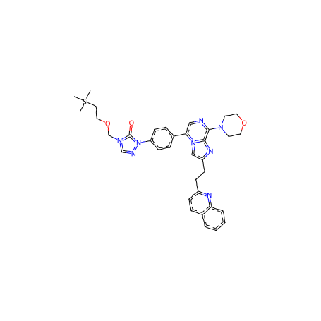 C[Si](C)(C)CCOCn1cnn(-c2ccc(-c3cnc(N4CCOCC4)c4nc(CCc5ccc6ccccc6n5)cn34)cc2)c1=O